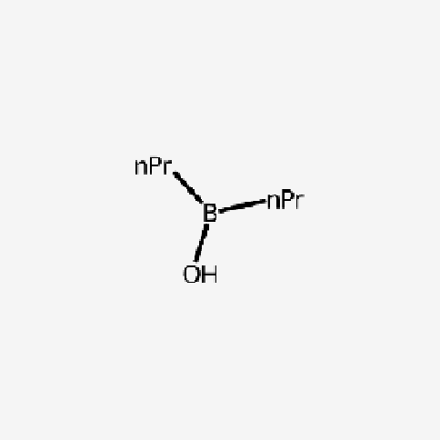 CCCB(O)CCC